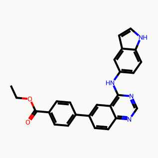 CCOC(=O)c1ccc(-c2ccc3ncnc(Nc4ccc5[nH]ccc5c4)c3c2)cc1